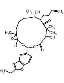 C=CCC[C@H]1C(=O)C(C)(C)[C@@H](O)CC(=O)O[C@H](c2ccc3oc(CN)nc3c2)C[C@@H]2O[C@]2(C)CCC[C@H](C)[C@@H]1O